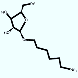 NCCCCCCO[C@@H]1O[C@H](CO)C(O)[C@@H]1O